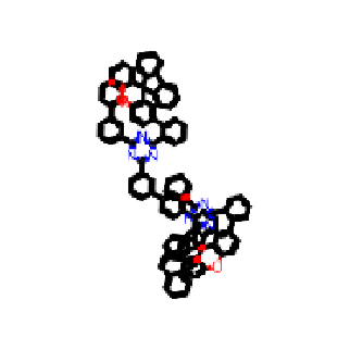 c1ccc(-c2cccc(-c3nc(-c4cccc(-c5ccc(-c6cccc7c6-c6ccccc6C76c7ccccc7Oc7ccc(-c8ccccc8-c8nc(-c9ccccc9)nc(-c9ccc%10c(ccc%11ccccc%11%10)c9)n8)cc76)cc5)c4)nc(-c4ccccc4-c4ccc5c(c4)C4(c6ccccc6O5)c5ccccc5-c5ccccc54)n3)c2)cc1